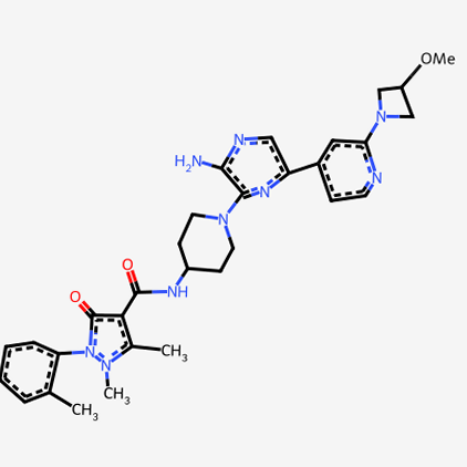 COC1CN(c2cc(-c3cnc(N)c(N4CCC(NC(=O)c5c(C)n(C)n(-c6ccccc6C)c5=O)CC4)n3)ccn2)C1